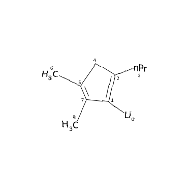 [Li][C]1=C(CCC)CC(C)=C1C